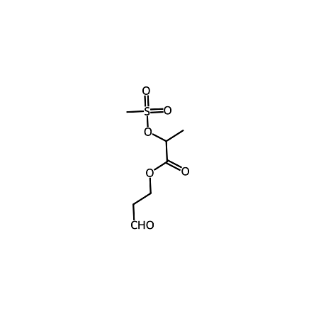 CC(OS(C)(=O)=O)C(=O)OCCC=O